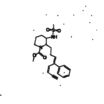 C#C/C=C\C(=C/CCC1C(NS(C)(=O)=O)CCCN1C(=O)OC)c1ccccc1